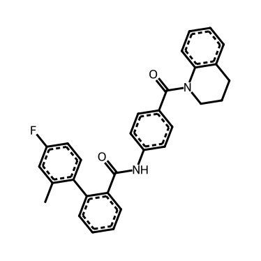 Cc1cc(F)ccc1-c1ccccc1C(=O)Nc1ccc(C(=O)N2CCCc3ccccc32)cc1